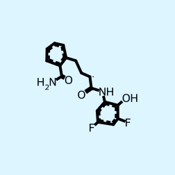 NC(=O)c1ccccc1CC[CH]C(=O)Nc1cc(F)cc(F)c1O